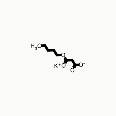 CCCCCOC(=O)CC(=O)[O-].[K+]